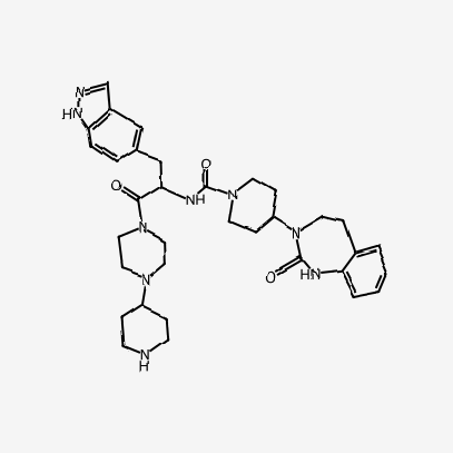 O=C(NC(Cc1ccc2[nH]ncc2c1)C(=O)N1CCN(C2CCNCC2)CC1)N1CCC(N2CCc3ccccc3NC2=O)CC1